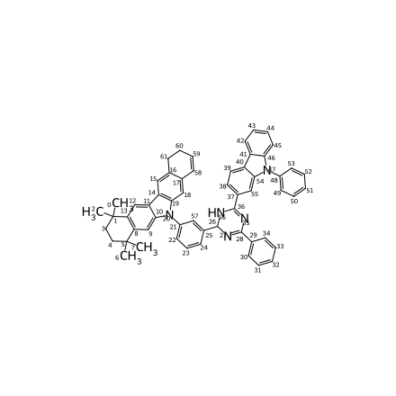 CC1(C)CCC(C)(C)c2cc3c(cc21)c1cc2c(cc1n3-c1cccc(C3N=C(c4ccccc4)N=C(c4ccc5c6ccccc6n(-c6ccccc6)c5c4)N3)c1)C=CCC2